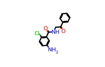 Nc1ccc(Cl)c(C(=O)NCC(=O)c2ccccc2)c1